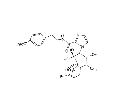 COc1ccc(CCNC(=O)c2nccn2C([C@H](O)C(C)c2ccc(F)cc2)[C@@](O)(CC(=O)O)C(C)C)cc1